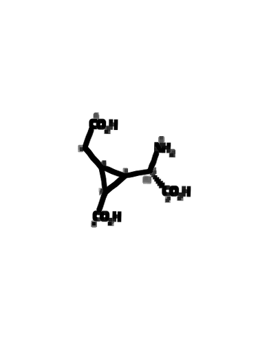 N[C@H](C(=O)O)C1C(CC(=O)O)C1C(=O)O